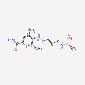 COc1cc(C(N)=O)cc([N+](=O)[O-])c1NC/C=C/CNB(C)O